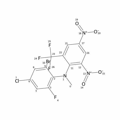 CN(c1c(F)cc(Cl)cc1Br)c1c([N+](=O)[O-])cc([N+](=O)[O-])cc1C(F)(F)F